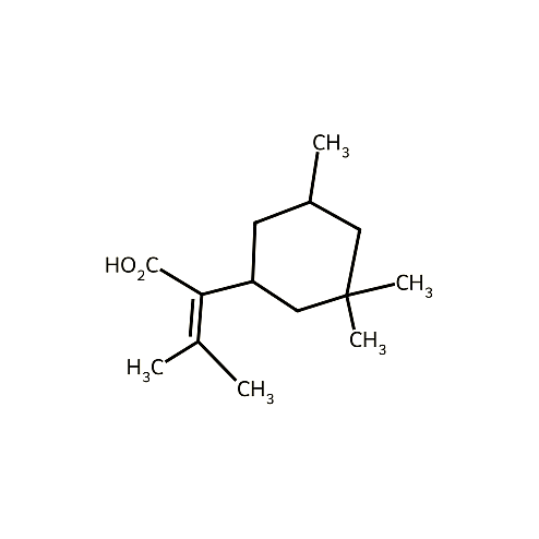 CC(C)=C(C(=O)O)C1CC(C)CC(C)(C)C1